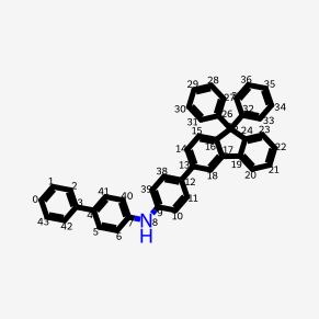 c1ccc(-c2ccc(Nc3ccc(-c4ccc5c(c4)-c4ccccc4C5(c4ccccc4)c4ccccc4)cc3)cc2)cc1